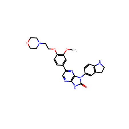 COc1cc(-c2cnc3[nH]c(=O)n(-c4ccc5c(c4)CCN5)c3n2)ccc1OCCN1CCOCC1